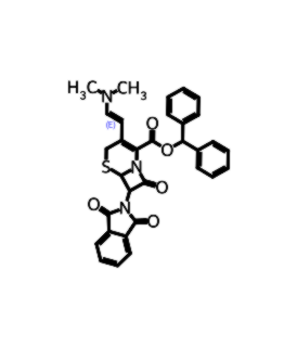 CN(C)/C=C/C1=C(C(=O)OC(c2ccccc2)c2ccccc2)N2C(=O)C(N3C(=O)c4ccccc4C3=O)C2SC1